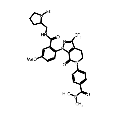 CCN1CCCC1CNC(=O)c1cc(OC)ccc1-n1nc(C(F)(F)F)c2c1C(=O)N(c1ccc(C(=O)N(C)C)cc1)CC2